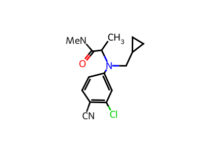 CNC(=O)C(C)N(CC1CC1)c1ccc(C#N)c(Cl)c1